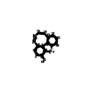 Fc1ccc2c(c1F)-c1ccccc1C=CN=N2